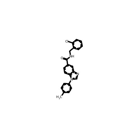 Cc1ccc(-n2cnc3cc(C(=O)NCc4ccccc4Cl)ccc32)cc1